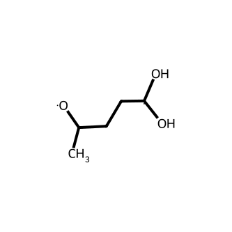 CC([O])CC[C](O)O